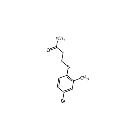 Cc1cc(Br)ccc1SCCC(N)=O